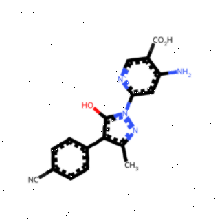 Cc1nn(-c2cc(N)c(C(=O)O)cn2)c(O)c1-c1ccc(C#N)cc1